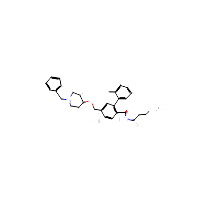 CSCC[C@H](NC(=O)c1ccc(COC2CCN(Cc3ccccc3)CC2)cc1-c1ccccc1C)C(=O)O.[LiH]